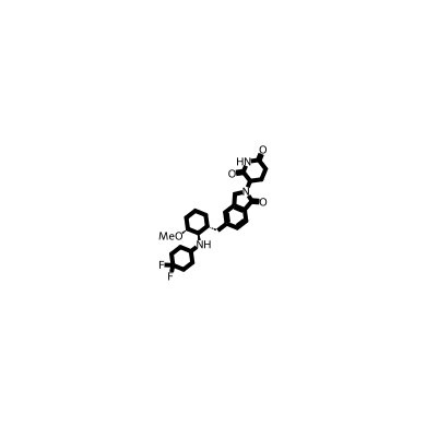 CO[C@@H]1CCC[C@H](Cc2ccc3c(c2)CN(C2CCC(=O)NC2=O)C3=O)[C@H]1NC1CCC(F)(F)CC1